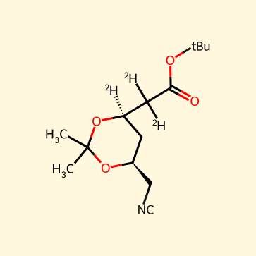 [2H]C([2H])(C(=O)OC(C)(C)C)[C@@]1([2H])C[C@@H](C[N+]#[C-])OC(C)(C)O1